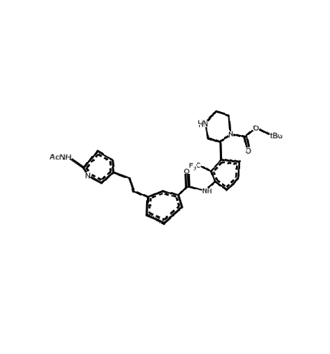 CC(=O)Nc1ccc(CCc2cccc(C(=O)Nc3cccc(C4CNCCN4C(=O)OC(C)(C)C)c3C(F)(F)F)c2)cn1